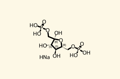 O=P(O)(O)OC[C@H]1O[C@](O)(COP(=O)(O)O)[C@@H](O)[C@@H]1O.[NaH]